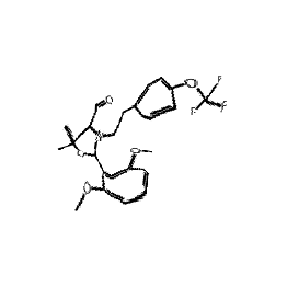 COc1cccc(OC)c1C1OC(C)(C)C(C=O)N1CCc1ccc(OC(F)(F)F)cc1